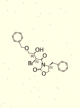 O=C1OC[C@H](Cc2ccccc2)N1C(=O)[C@@H](Br)[C@H](O)COCc1ccccc1